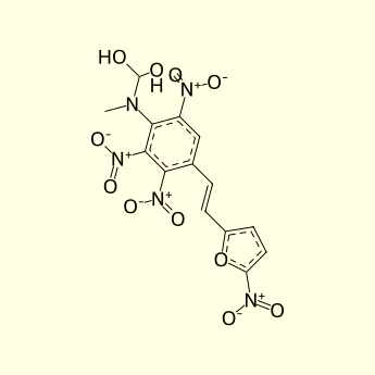 CN(c1c([N+](=O)[O-])cc(C=Cc2ccc([N+](=O)[O-])o2)c([N+](=O)[O-])c1[N+](=O)[O-])C(O)O